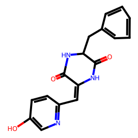 O=C1NC(Cc2ccccc2)C(=O)NC1=Cc1ccc(O)cn1